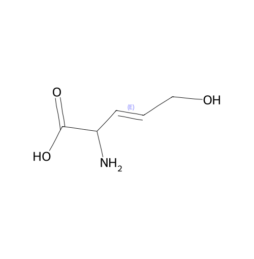 NC(/C=C/CO)C(=O)O